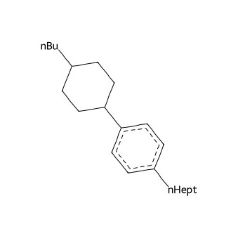 CCCCCCCc1ccc(C2CCC(CCCC)CC2)cc1